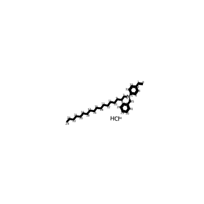 C=Cc1ccc(N(CCCCCCCCCCCCCCCCCC)Cc2ccccc2)cc1.Cl